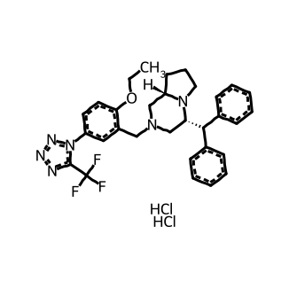 CCOc1ccc(-n2nnnc2C(F)(F)F)cc1CN1C[C@@H]2CCCN2[C@H](C(c2ccccc2)c2ccccc2)C1.Cl.Cl